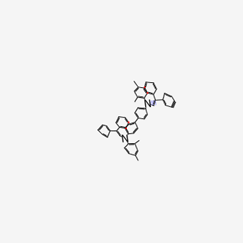 Cc1ccc(N(C=C(c2ccccc2)c2ccccc2)c2ccc(-c3ccc(N(/C=C(/c4cc#ccc4)c4ccccc4)c4ccc(C)cc4C)cc3)cc2)c(C)c1